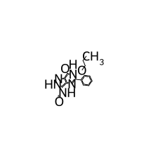 CCCOc1ccccc1-c1nc2c(NC=O)[nH]nc2c(=O)[nH]1